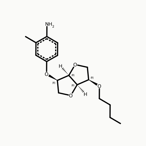 CCCCO[C@@H]1CO[C@H]2[C@@H]1OC[C@H]2Oc1ccc(N)c(C)c1